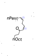 CCCCC/C=C\C/C=C\C(=O)CCCCCCCCCC